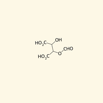 O=COC(C(=O)O)C(O)C(=O)O